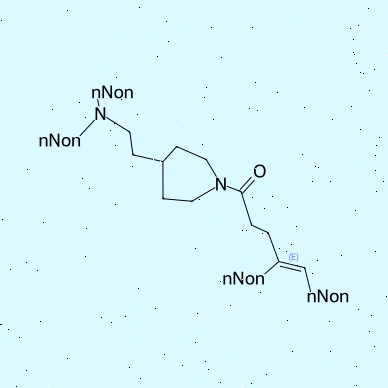 CCCCCCCCC/C=C(\CCCCCCCCC)CCC(=O)N1CCC(CCN(CCCCCCCCC)CCCCCCCCC)CC1